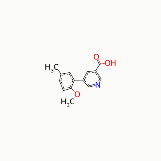 COc1ccc(C)cc1-c1cncc(C(=O)O)c1